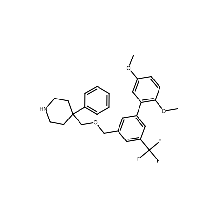 COc1ccc(OC)c(-c2cc(COCC3(c4ccccc4)CCNCC3)cc(C(F)(F)F)c2)c1